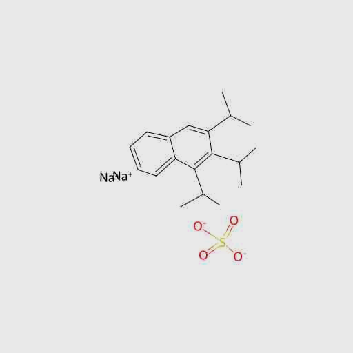 CC(C)c1cc2ccccc2c(C(C)C)c1C(C)C.O=S(=O)([O-])[O-].[Na+].[Na+]